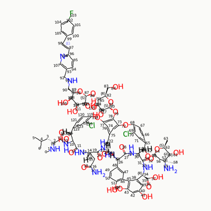 CN[C@H](CC(C)C)C(=O)NC1C(=O)N[C@@H](CC(N)=O)C(=O)N[C@H]2C(=O)N[C@H]3C(=O)N[C@H](C(=O)N[C@@H](C(=O)O)c4cc(O)cc(O)c4-c4cc3ccc4O)[C@H](O[C@H]3C[C@](C)(N)[C@@H](O)[C@H](C)O3)c3ccc(c(Cl)c3)Oc3cc2cc(c3O[C@@H]2O[C@H](CO)[C@@H](O[C@@H]3O[C@H](CNCc4ccc(/C=C/c5ccc(F)cc5)nc4)[C@H](O)[C@H](O)[C@H]3O)[C@H](O)[C@H]2O)Oc2ccc(cc2Cl)[C@H]1O